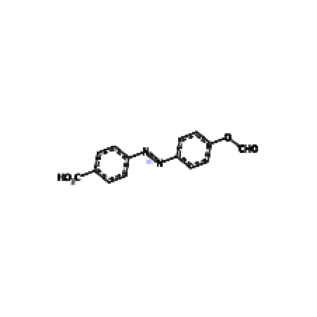 O=COc1ccc(/N=N/c2ccc(C(=O)O)cc2)cc1